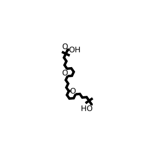 CC(C)(CO)CCCC1CCCC(CCCC2CCCC(CCCC(C)(C)C(=O)O)O2)O1